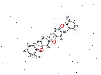 Ic1ccccc1Oc1ccc(Oc2cccc(Oc3ccccc3I)c2)cc1